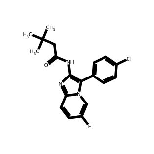 CC(C)(C)CC(=O)Nc1nc2ccc(F)cn2c1-c1ccc(Cl)cc1